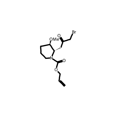 C=CCOC(=O)N1CCC[C@@H](OC)[C@@H]1CC(=O)CBr